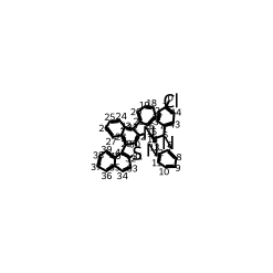 Clc1ccc(-c2nc3ccccc3nc2-n2c3ccccc3c3c4ccccc4c4c(sc5ccc6ccccc6c54)c32)cc1